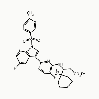 CCOC(=O)CC(Nc1nc(-c2cn(S(=O)(=O)c3ccc(C)cc3)c3ncc(F)cc23)ncc1F)C1(C)CCCCC1